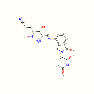 N#CCC[C@@H](N=O)[C@H](O)[C@@H](N)/C=N/c1cccc2c1CN(C1CCC(=O)NC1=O)C2=O